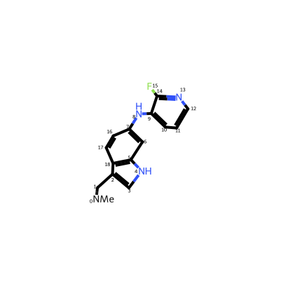 CNCc1c[nH]c2cc(Nc3cccnc3F)ccc12